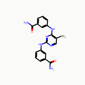 NC(=O)c1cccc(Nc2ncc([N+](=O)[O-])c(Nc3cccc(C(N)=O)c3)n2)c1